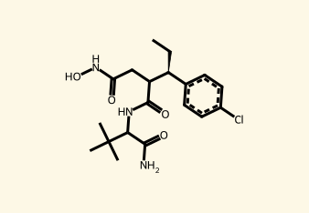 CC[C@@H](c1ccc(Cl)cc1)C(CC(=O)NO)C(=O)NC(C(N)=O)C(C)(C)C